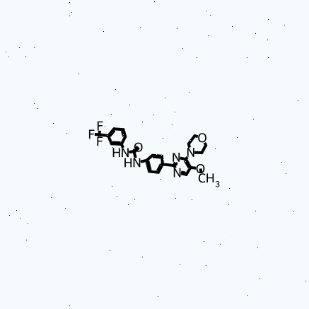 COc1cnc(-c2ccc(NC(=O)Nc3cccc(C(F)(F)F)c3)cc2)nc1N1CCOCC1